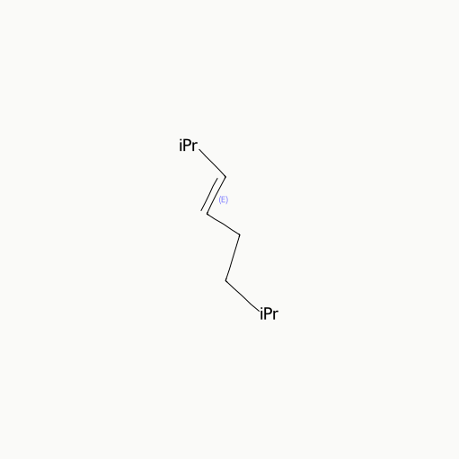 [CH2]C(C)/C=C/CCC(C)C